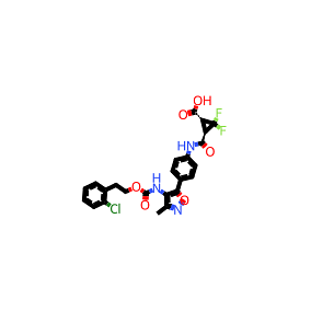 Cc1noc(-c2ccc(NC(=O)[C@H]3[C@H](C(=O)O)C3(F)F)cc2)c1NC(=O)OCCc1ccccc1Cl